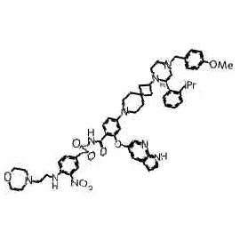 COc1ccc(CN2CCN(C3CC4(CCN(c5ccc(C(=O)NS(=O)(=O)c6ccc(NCCN7CCOCC7)c([N+](=O)[O-])c6)c(Oc6cnc7[nH]ccc7c6)c5)CC4)C3)[C@H](c3ccccc3C(C)C)C2)cc1